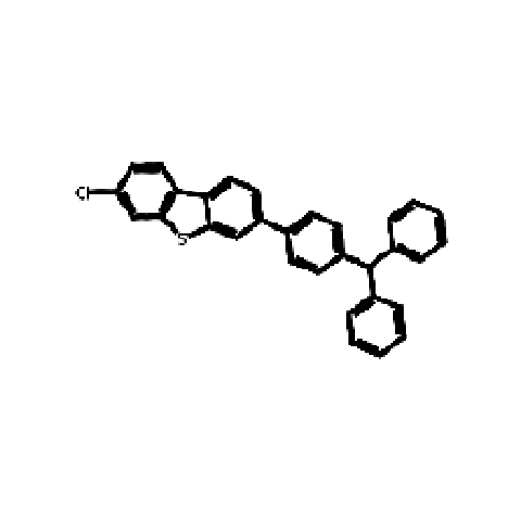 Clc1ccc2c(c1)sc1cc(-c3ccc(C(c4ccccc4)c4ccccc4)cc3)ccc12